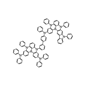 c1ccc(N(c2ccccc2)c2ccc3c(c2)N(c2ccccc2)c2cccc4c2B3c2ccc(N(c3ccccc3)c3ccccc3)cc2N4c2cccc(-c3ccc(N(c4ccccc4)c4ccc5c(c4)N(c4ccccc4)c4cccc6c4B5c4cc5c7ccccc7n(-c7ccccc7)c5cc4N6c4ccccc4)cc3)c2)cc1